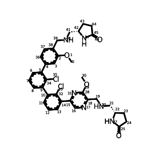 COc1cc(-c2cccc(-c3cccc(-c4cnc(CNC[C@@H]5CCC(=O)N5)c(OC)n4)c3Cl)c2Cl)ccc1CNC[C@@H]1CCC(=O)N1